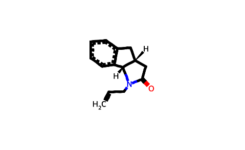 C=CCN1C(=O)C[C@H]2Cc3ccccc3[C@H]21